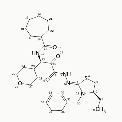 CC[C@@H]1CSC(=NNC(=O)C(=O)[C@H](NC(=O)C2CCCCCC2)C2CCOCC2)N1Cc1ccccc1